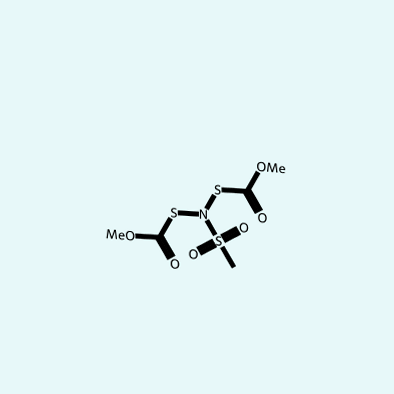 COC(=O)SN(SC(=O)OC)S(C)(=O)=O